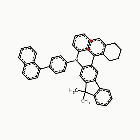 CC1(C)c2ccccc2-c2cc(-c3cccc4c3CCCC4)c(N(c3ccccc3)c3ccc(-c4cccc5ccccc45)cc3)cc21